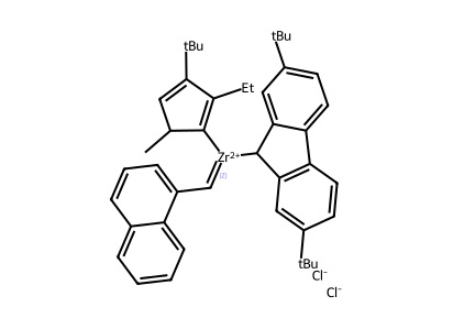 CCC1=[C](/[Zr+2](=[CH]\c2cccc3ccccc23)[CH]2c3cc(C(C)(C)C)ccc3-c3ccc(C(C)(C)C)cc32)C(C)C=C1C(C)(C)C.[Cl-].[Cl-]